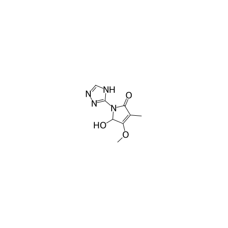 COC1=C(C)C(=O)N(c2nnc[nH]2)C1O